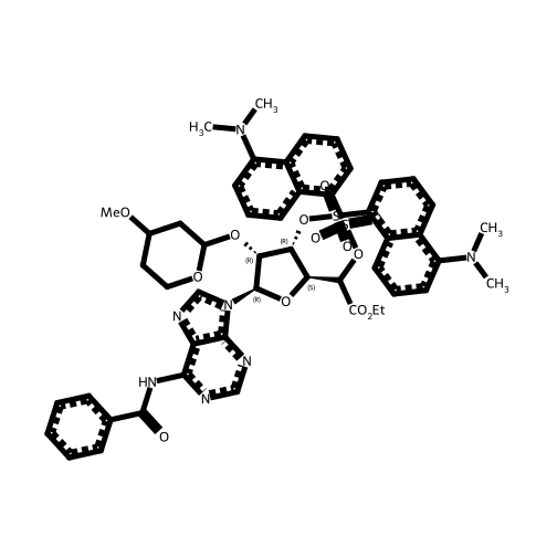 CCOC(=O)C(OS(=O)(=O)c1cccc2c(N(C)C)cccc12)[C@H]1O[C@@H](n2cnc3c(NC(=O)c4ccccc4)ncnc32)[C@H](OC2CC(OC)CCO2)[C@@H]1OS(=O)(=O)c1cccc2c(N(C)C)cccc12